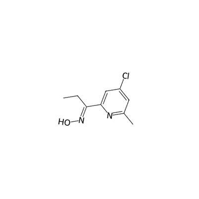 CCC(=NO)c1cc(Cl)cc(C)n1